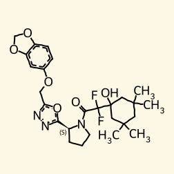 CC1(C)CC(C)(C)CC(O)(C(F)(F)C(=O)N2CCC[C@H]2c2nnc(COc3ccc4c(c3)OCO4)o2)C1